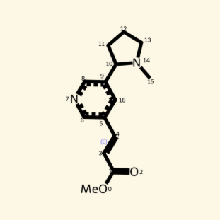 COC(=O)/C=C/c1cncc(C2CCCN2C)c1